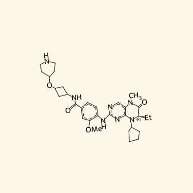 CC[C@@H]1C(=O)N(C)c2cnc(Nc3ccc(C(=O)NC4CC(OC5CCNCC5)C4)cc3OC)nc2N1C1CCCC1